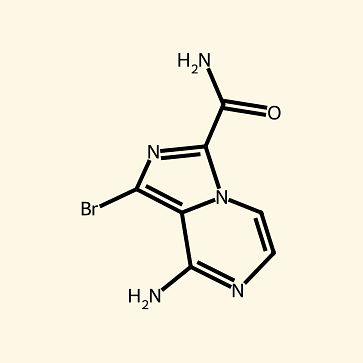 NC(=O)c1nc(Br)c2c(N)nccn12